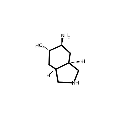 N[C@H]1C[C@H]2CNC[C@H]2C[C@@H]1O